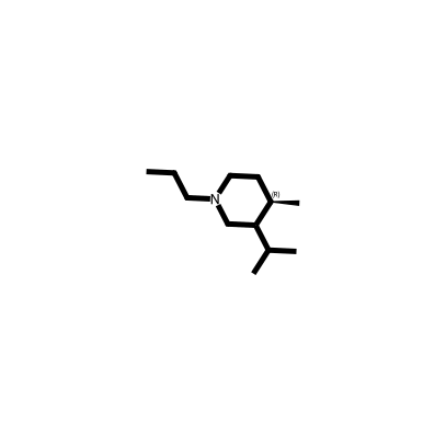 CCCN1CC[C@@H](C)C(C(C)C)C1